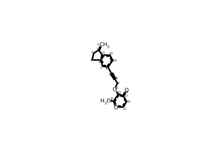 C=C1CCc2cc(C#CCOc3c(C)occc3=O)ccc21